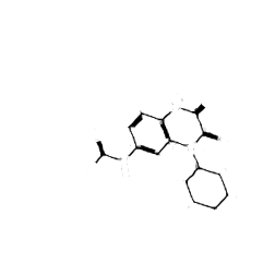 CC(=O)Nc1ccc2[nH]c(=O)c(=O)n(C3CCCCC3)c2c1